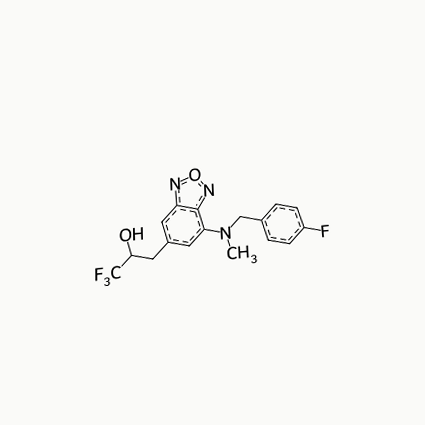 CN(Cc1ccc(F)cc1)c1cc(CC(O)C(F)(F)F)cc2nonc12